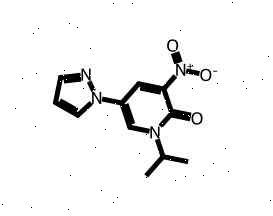 CC(C)n1cc(-n2cccn2)cc([N+](=O)[O-])c1=O